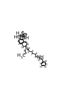 CCCN(CCCCCCNCCc1ccccc1)C1CCc2c(ccc(O)c2NS(C)(=O)=O)C1